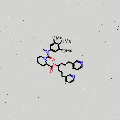 COc1cc(N(C)C(=O)N2CCCCC2C(=O)OC(CCCc2cccnc2)CCCc2cccnc2)cc(OC)c1OC